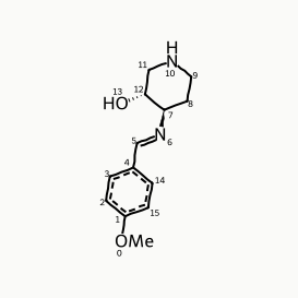 COc1ccc(C=N[C@@H]2CCNC[C@H]2O)cc1